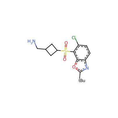 CC(C)(C)c1nc2ccc(Cl)c(S(=O)(=O)C3CC(CN)C3)c2o1